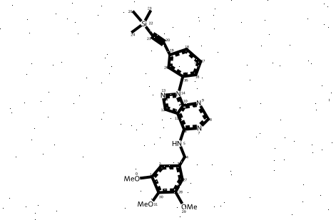 COc1cc(CNc2ncnc3c2cnn3-c2cccc(C#C[Si](C)(C)C)c2)cc(OC)c1OC